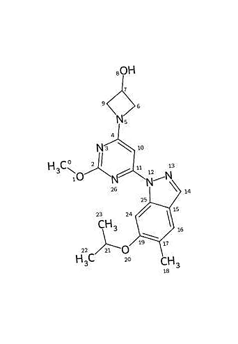 COc1nc(N2CC(O)C2)cc(-n2ncc3cc(C)c(OC(C)C)cc32)n1